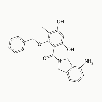 Cc1c(O)cc(O)c(C(=O)N2Cc3cccc(N)c3C2)c1OCc1ccccc1